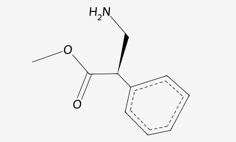 COC(=O)[C@@H](CN)c1ccccc1